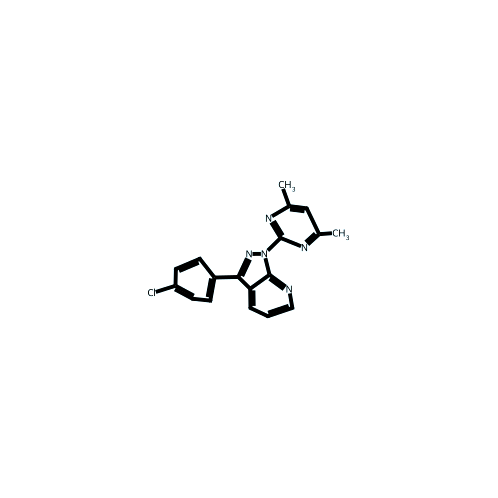 Cc1cc(C)nc(-n2nc(-c3ccc(Cl)cc3)c3cccnc32)n1